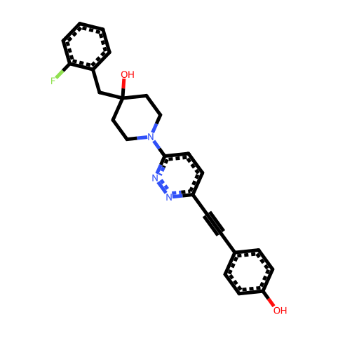 Oc1ccc(C#Cc2ccc(N3CCC(O)(Cc4ccccc4F)CC3)nn2)cc1